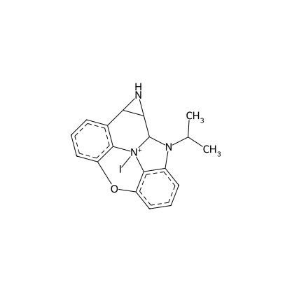 CC(C)N1c2cccc3c2[N+]2(I)c4c(cccc4C4NC4C12)O3